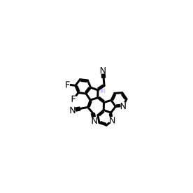 N#C/C=C1/C(=C2c3cccnc3-c3ncccc32)C(=C(C#N)C#N)c2c1ccc(F)c2F